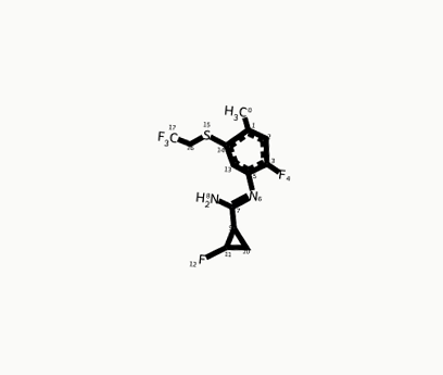 Cc1cc(F)c(/N=C(\N)C2CC2F)cc1SCC(F)(F)F